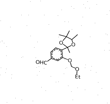 CCOCOc1cc(C=O)ccc1C1(C)OC(C)C(C)(C)O1